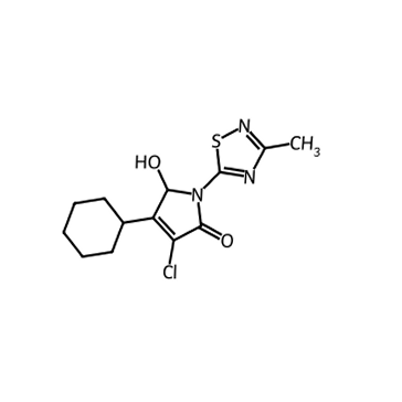 Cc1nsc(N2C(=O)C(Cl)=C(C3CCCCC3)C2O)n1